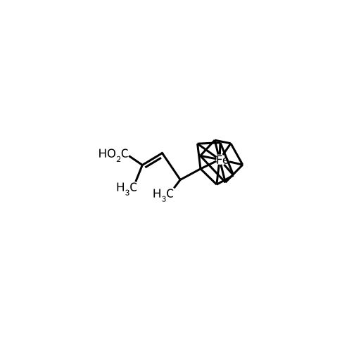 CC(=CC(C)[C]12[CH]3[CH]4[CH]5[CH]1[Fe]45321678[CH]2[CH]1[CH]6[CH]7[CH]28)C(=O)O